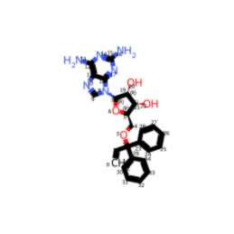 C=CC(OC[C@H]1O[C@@H](n2cnc3c(N)nc(N)nc32)[C@H](O)[C@@H]1O)(c1ccccc1)c1ccccc1